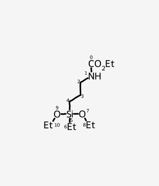 CCOC(=O)NCCC[Si](CC)(OCC)OCC